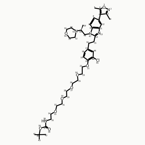 Cc1noc(C)c1-c1ccc2c(c1)nc(CCc1ccc(OCCOCCOCCOCCOCCNC(=O)OC(C)(C)C)c(Cl)c1)n2C[C@H](C)N1CCOCC1